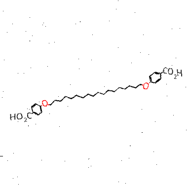 O=C(O)c1ccc(OCCCCCCCCCCCCCCCCCCOc2ccc(C(=O)O)cc2)cc1